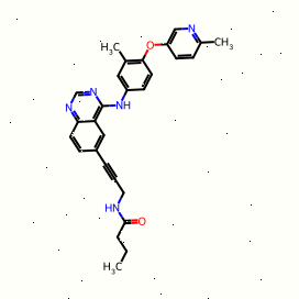 CCCC(=O)NCC#Cc1ccc2ncnc(Nc3ccc(Oc4ccc(C)nc4)c(C)c3)c2c1